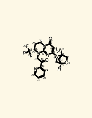 NC12CO[C@H](CN1c1cc(=O)n3c(n1)N(CC(=O)c1ccccn1)[C@H](C(F)(F)F)CC3)C2